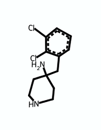 NC1(Cc2cccc(Cl)c2Cl)CCNCC1